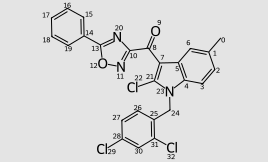 Cc1ccc2c(c1)c(C(=O)c1noc(-c3ccccc3)n1)c(Cl)n2Cc1ccc(Cl)cc1Cl